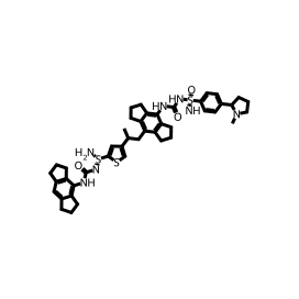 CC(Cc1c2c(c(NC(=O)NS(=N)(=O)c3ccc(C4CCCN4C)cc3)c3c1CCC3)CCC2)c1csc(/S(N)=N/C(=O)Nc2c3c(cc4c2CCC4)CCC3)c1